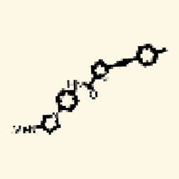 CNC1CCN(c2ccc(NC(=O)c3ccc(C#Cc4ccc(C)cc4)s3)cc2)C1